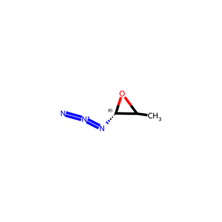 CC1O[C@H]1N=[N+]=[N-]